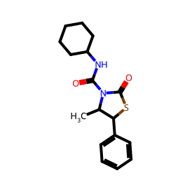 CC1C(c2ccccc2)SC(=O)N1C(=O)NC1CCCCC1